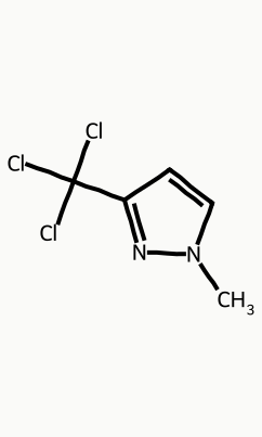 Cn1ccc(C(Cl)(Cl)Cl)n1